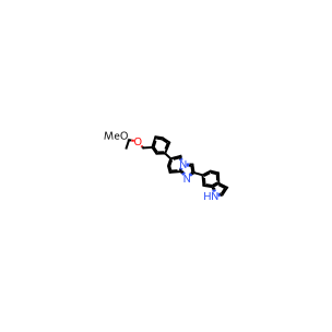 COC(C)OCc1cccc(-c2ccc3nc(-c4ccc5cc[nH]c5c4)cn3c2)c1